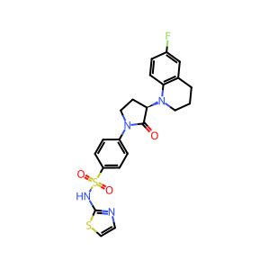 O=C1[C@H](N2CCCc3cc(F)ccc32)CCN1c1ccc(S(=O)(=O)Nc2nccs2)cc1